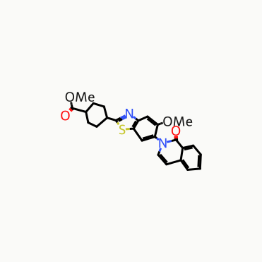 COC(=O)C1CCC(c2nc3cc(OC)c(-n4ccc5ccccc5c4=O)cc3s2)CC1